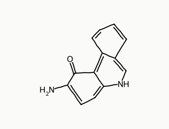 Nc1ccc2[nH]cc3ccccc3c-2c1=O